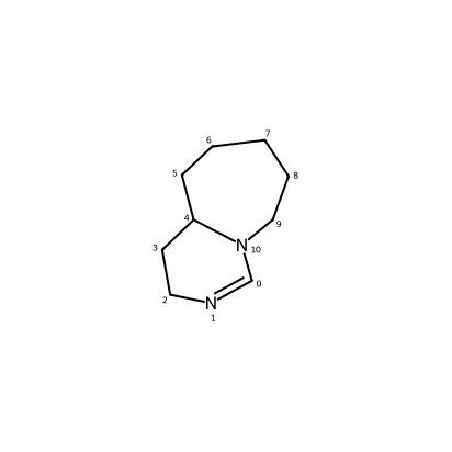 C1=NCCC2CCCCCN12